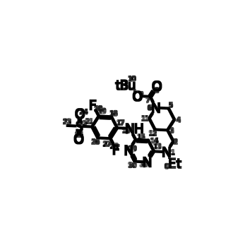 CCN(CC1CCN(C(=O)OC(C)(C)C)CC1)c1cc(Nc2cc(F)c(S(C)(=O)=O)cc2F)ncn1